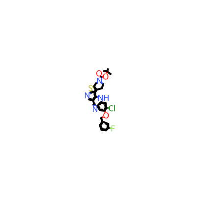 CC(C)(C)OC(=O)N1CCc2c(sc3ncc(C#N)c(Nc4ccc(OCc5cccc(F)c5)c(Cl)c4)c23)C1